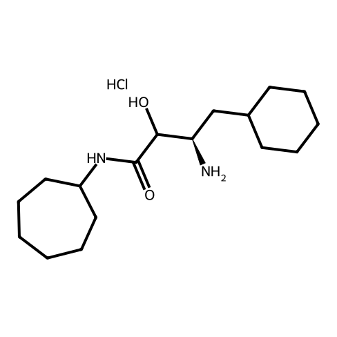 Cl.N[C@H](CC1CCCCC1)C(O)C(=O)NC1CCCCCC1